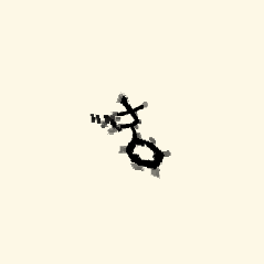 CC(C)(C)CC(=NN)c1ccccc1